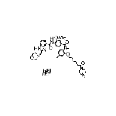 COc1cc(C(=O)N(C)c2ccc(C)cc2OCCCCCC(=O)N2CCN(C)CC2)ccc1NC(=O)c1cccc2[nH]c(CN3CCOCC3)nc12.Cl.Cl.Cl